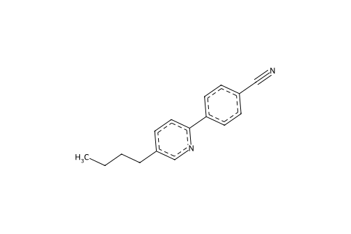 CCCCc1ccc(-c2ccc(C#N)cc2)nc1